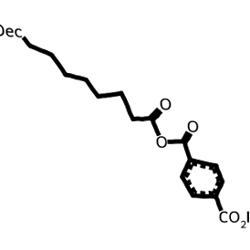 CCCCCCCCCCCCCCCCCC(=O)OC(=O)c1ccc(C(=O)O)cc1